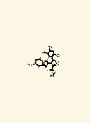 CCNC(=O)C1=NOC(c2cc(C(C)C)c(O)cc2O)C1c1cc2n(c1)CCN(C)C2